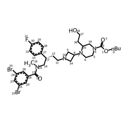 CCCCOC(=O)N1CCN(C2CN(CC[C@H](CN(C)C(=O)c3cc(Br)cc(Br)c3)c3ccc(F)cc3)C2)C(CCO)C1